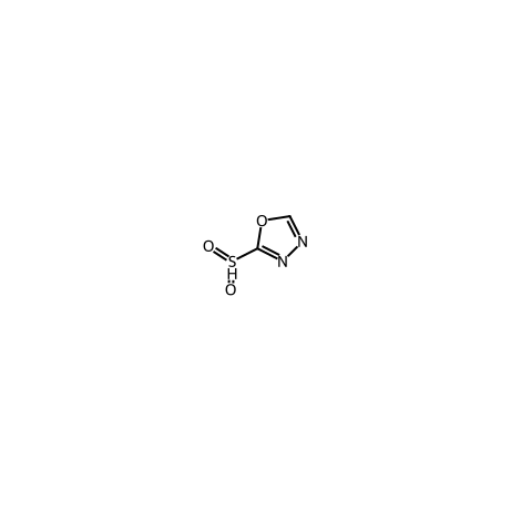 O=[SH](=O)c1nnco1